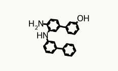 Nc1ccc(-c2cccc(O)c2)cc1Nc1cccc(-c2ccccc2)c1